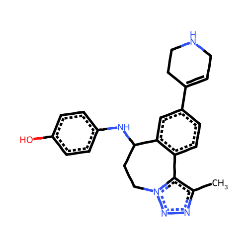 Cc1nnn2c1-c1ccc(C3=CCNCC3)cc1C(Nc1ccc(O)cc1)CC2